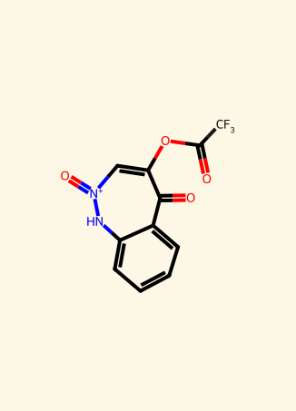 O=C(Oc1c[n+](=O)[nH]c2ccccc2c1=O)C(F)(F)F